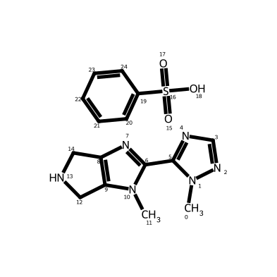 Cn1ncnc1-c1nc2c(n1C)CNC2.O=S(=O)(O)c1ccccc1